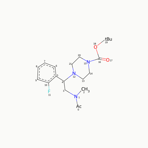 CC(=O)N(C)CC(c1ccccc1F)N1CCN(C(=O)OC(C)(C)C)CC1